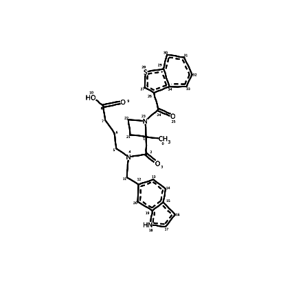 CC1(C(=O)N(CCCC(=O)O)Cc2ccc3cc[nH]c3c2)CCN1C(=O)c1csc2ccccc12